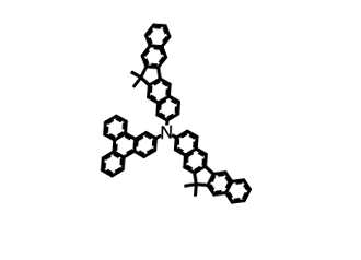 CC1(C)c2cc3ccccc3cc2-c2cc3ccc(N(c4ccc5cc6c(cc5c4)C(C)(C)c4cc5ccccc5cc4-6)c4ccc5c6ccccc6c6ccccc6c5c4)cc3cc21